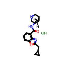 Cl.O=C(N[C@@H]1CN2CCC1CC2)c1cccc2oc(CC3CC3)nc12